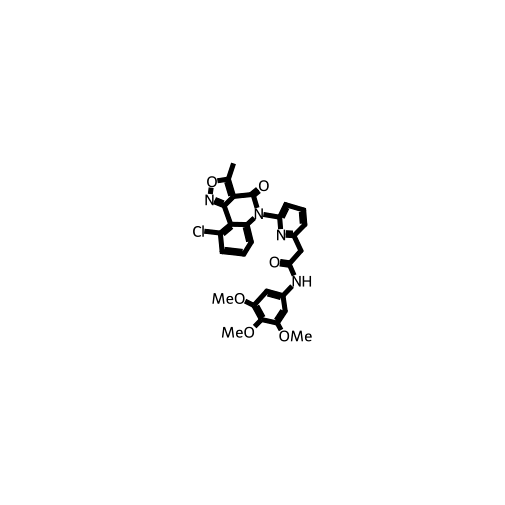 COc1cc(NC(=O)Cc2cccc(-n3c(=O)c4c(C)onc4c4c(Cl)cccc43)n2)cc(OC)c1OC